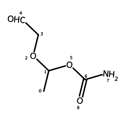 CC(OCC=O)OC(N)=O